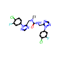 CCN(Cc1ncnn1-c1ccc(Cl)c(F)c1)C(=O)NCc1ncnn1-c1ccc(Cl)c(F)c1